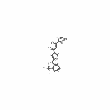 O=C(C=C(O)c1nc[nH]n1)c1coc(Cc2ccccc2C(F)(F)F)c1